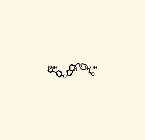 O=CC(O)N1CCN(Cc2ccc3cc(Oc4ccc(-c5ccn[nH]5)cc4)ccc3n2)CC1